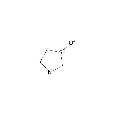 [O-][S+]1CC[N]C1